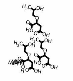 CC(O)COC(CC(=O)O)C(=O)O.CC(O)COC(CC(=O)O)C(=O)O.CC(O)COC(CC(=O)O)C(=O)O.[NaH].[NaH].[NaH]